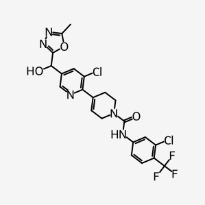 Cc1nnc(C(O)c2cnc(C3=CCN(C(=O)Nc4ccc(C(F)(F)F)c(Cl)c4)CC3)c(Cl)c2)o1